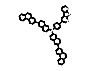 c1ccc2c(c1)ccc1cc(-c3ccc4cc(N(c5ccc(-c6cnc7oc8ncccc8c7c6)cc5)c5ccc6cc(-c7ccc8c(ccc9ccccc98)c7)ccc6c5)ccc4c3)ccc12